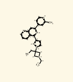 Cc1cc(-c2cc3ncccc3c(-c3ccn(C4(CC#N)CN(CC(F)(F)F)C4)n3)n2)ccn1